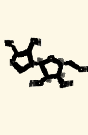 N#Cc1ncn([C@@H]2O[C@H](CO)[C@@H](O)[C@H]2O)c1O